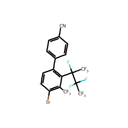 N#Cc1ccc(-c2c[c]c(Br)c(C(F)(F)F)c2C(F)(C(F)(F)F)C(F)(F)C(F)(F)F)cc1